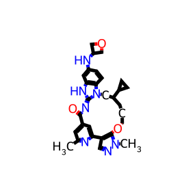 Cc1cc2cc(n1)-c1cnn(C)c1OCCCC(C1CC1)CN1/C(=N/C2=O)Nc2cc(NC3COC3)ccc21